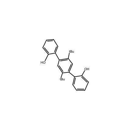 CC(C)(C)c1cc(-c2ccccc2O)c(C(C)(C)C)cc1-c1ccccc1O